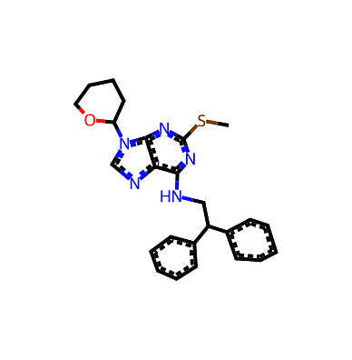 CSc1nc(NCC(c2ccccc2)c2ccccc2)c2ncn(C3CCCCO3)c2n1